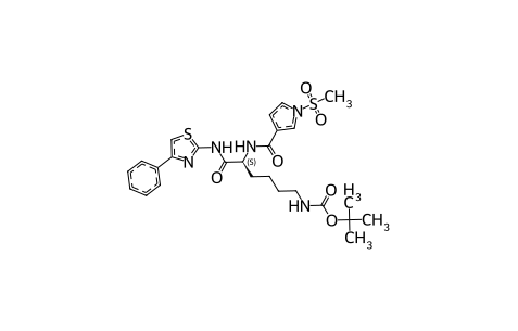 CC(C)(C)OC(=O)NCCCC[C@H](NC(=O)c1ccn(S(C)(=O)=O)c1)C(=O)Nc1nc(-c2ccccc2)cs1